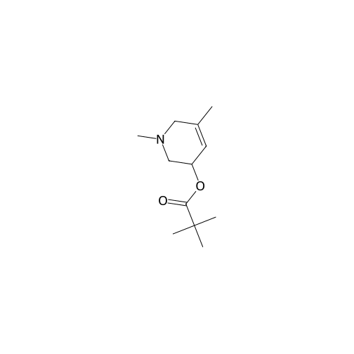 CC1=CC(OC(=O)C(C)(C)C)CN(C)C1